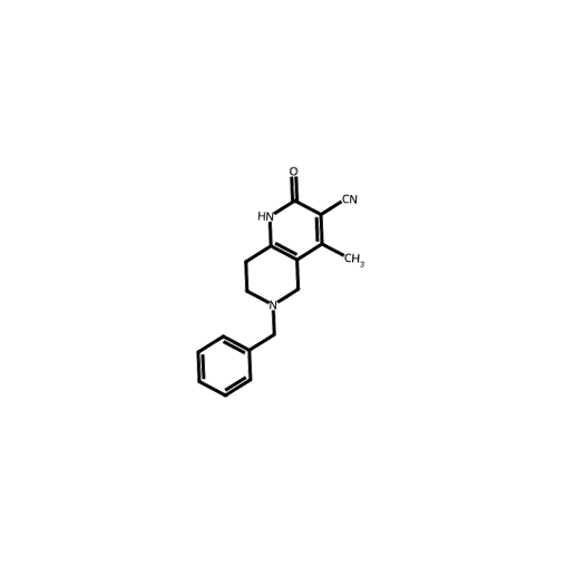 Cc1c2c([nH]c(=O)c1C#N)CCN(Cc1ccccc1)C2